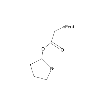 CCCCCCC(=O)OC1CCC[N]1